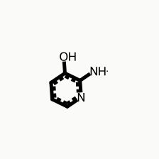 [NH]c1ncccc1O